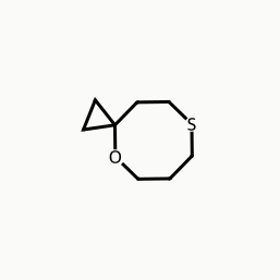 C1COC2(CCSC1)CC2